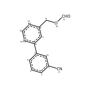 N#Cc1cccc(-c2cc(COC=O)ncn2)c1